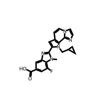 Cn1c(-c2cc3ccn4ccnc4c3n2CC2CC2)nc2cc(C(=O)O)cc(F)c21